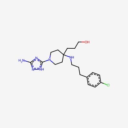 Nc1n[nH]c(N2CCC(CCCO)(NCCCc3ccc(Cl)cc3)CC2)n1